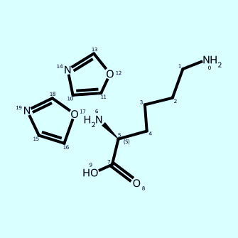 NCCCC[C@H](N)C(=O)O.c1cocn1.c1cocn1